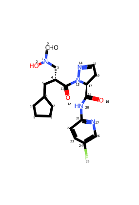 O=CN(O)C[C@@H](CC1CCCC1)C(=O)N1N=CC[C@H]1C(=O)Nc1ccc(F)cn1